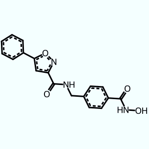 O=C(NO)c1ccc(CNC(=O)c2cc(-c3ccccc3)on2)cc1